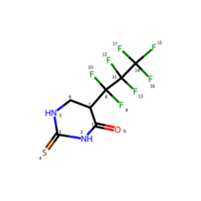 O=C1NC(=S)NCC1C(F)(F)C(F)(F)C(F)(F)F